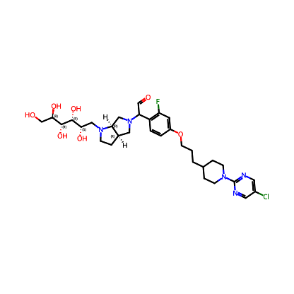 O=CC(c1ccc(OCCCC2CCN(c3ncc(Cl)cn3)CC2)cc1F)N1C[C@H]2CCN(C[C@H](O)[C@@H](O)[C@H](O)[C@H](O)CO)[C@H]2C1